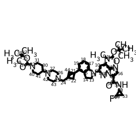 CN(C(=O)OC(C)(C)C)c1cc(N2CCc3c2cccc3C23CC(CN4CCN(C5CCN(C(=O)OC(C)(C)C)CC5)CC4)(C2)C3)nn2c(C(=O)N[C@@H]3C[C@@H]3F)cnc12